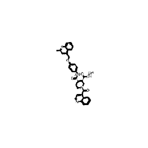 Cc1cc(COc2ccc(NC(=O)[C@H]3CCN(C(=O)c4ccnc5ccccc45)C[C@@H]3C(=O)NO)cc2)c2ccccc2n1